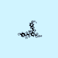 COC(=O)N1CC[C@H](NC(=O)C(=O)Nc2ccc(Cl)cn2)[C@H](NC(=O)c2nc3c(s2)CN(C)CC3)C1